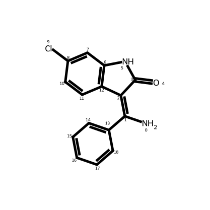 N/C(=C1\C(=O)Nc2cc(Cl)ccc21)c1ccccc1